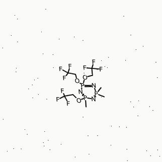 CP1(C)=NP(C)(OCC(F)(F)F)=NP(OCC(F)(F)F)(OCC(F)(F)F)=N1